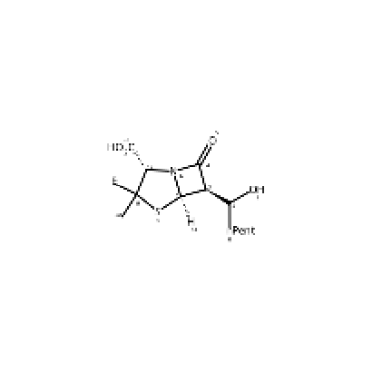 CCCCCC(O)[C@@H]1C(=O)N2[C@@H]1SC(C)(C)[C@@H]2C(=O)O